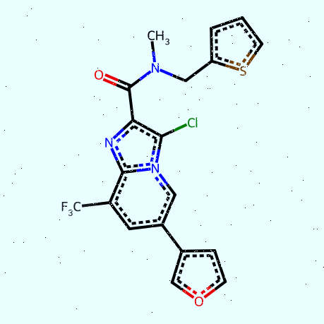 CN(Cc1cccs1)C(=O)c1nc2c(C(F)(F)F)cc(-c3ccoc3)cn2c1Cl